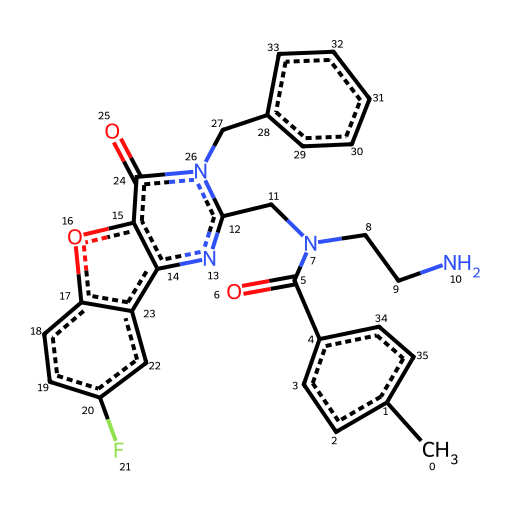 Cc1ccc(C(=O)N(CCN)Cc2nc3c(oc4ccc(F)cc43)c(=O)n2Cc2ccccc2)cc1